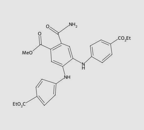 CCOC(=O)c1ccc(Nc2cc(C(N)=O)c(C(=O)OC)cc2Nc2ccc(C(=O)OCC)cc2)cc1